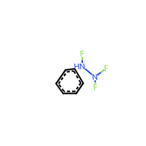 FNN(F)F.c1ccccc1